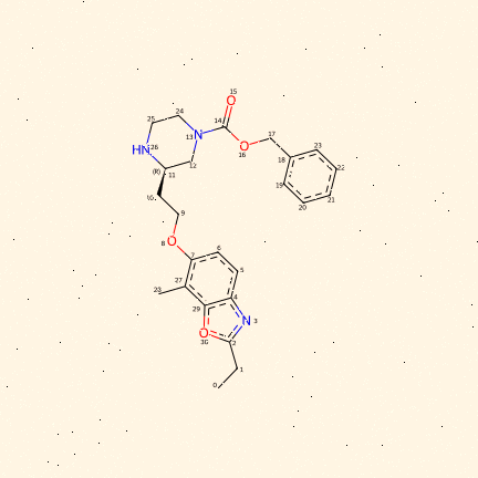 CCc1nc2ccc(OCC[C@@H]3CN(C(=O)OCc4ccccc4)CCN3)c(C)c2o1